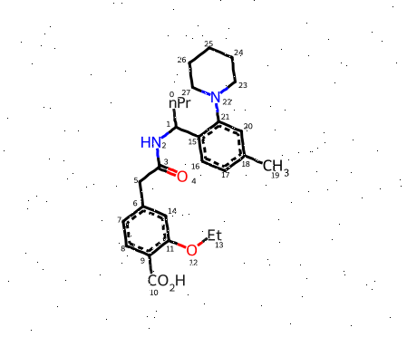 CCCC(NC(=O)Cc1ccc(C(=O)O)c(OCC)c1)c1ccc(C)cc1N1CCCCC1